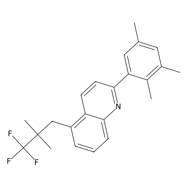 Cc1cc(C)c(C)c(-c2ccc3c(CC(C)(C)C(F)(F)F)cccc3n2)c1